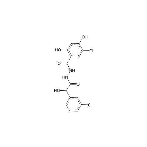 O=C(NNC(=O)C(O)c1cccc(Cl)c1)c1cc(Cl)c(O)cc1O